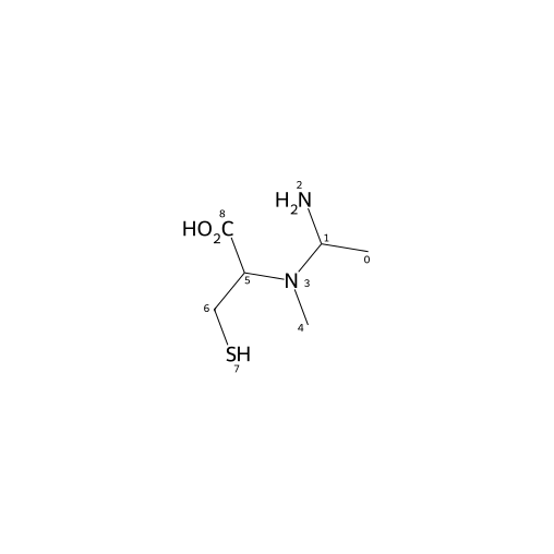 CC(N)N(C)C(CS)C(=O)O